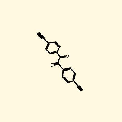 C#Cc1ccc(C(=O)C(=O)c2ccc(C#C)cc2)cc1